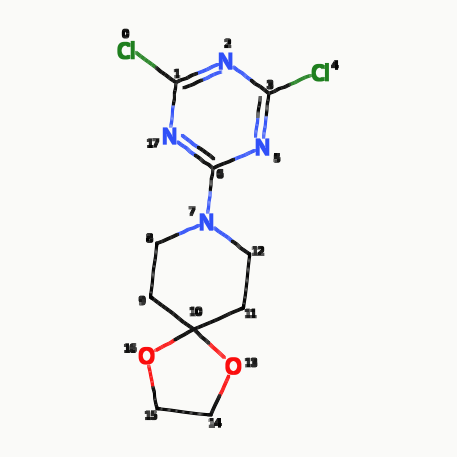 Clc1nc(Cl)nc(N2CCC3(CC2)OCCO3)n1